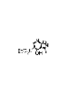 CCOC(=O)c1cnc2onc(C)c2c1O